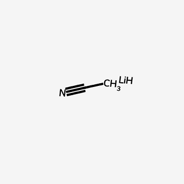 CC#N.[LiH]